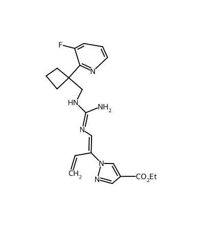 C=C/C(=C\N=C(/N)NCC1(c2ncccc2F)CCC1)n1cc(C(=O)OCC)cn1